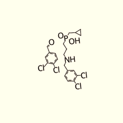 O=Cc1ccc(Cl)c(Cl)c1.O=P(O)(CCCNCc1ccc(Cl)c(Cl)c1)CC1CC1